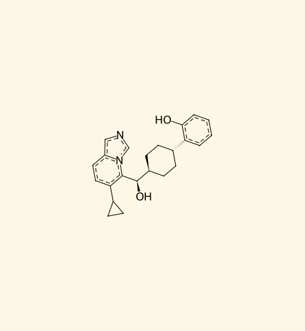 Oc1ccccc1[C@H]1CC[C@H]([C@@H](O)c2c(C3CC3)ccc3cncn23)CC1